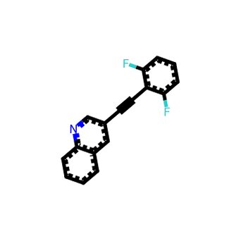 Fc1cccc(F)c1C#Cc1cnc2ccccc2c1